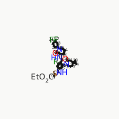 CCOC(=O)CSNc1cc(F)c(C(=O)Nc2cccn(C3CCC(F)(F)C3)c2=O)c(N2CCC3(CC2)CC3)c1